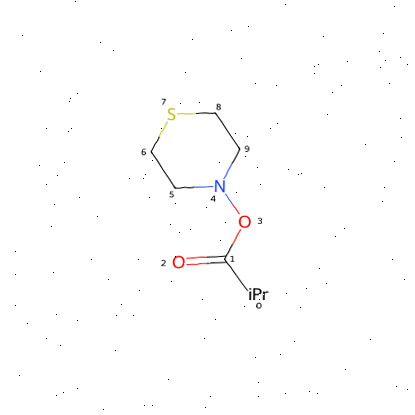 CC(C)C(=O)ON1CCSCC1